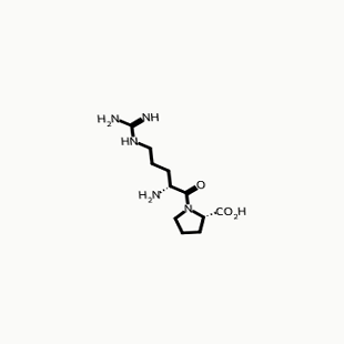 N=C(N)NCCC[C@@H](N)C(=O)N1CCC[C@H]1C(=O)O